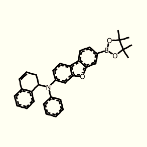 CC1(C)OB(c2ccc3c(c2)oc2cc(N(c4ccccc4)C4CC=Cc5ccccc54)ccc23)OC1(C)C